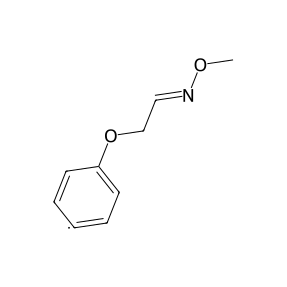 CO/N=C/COc1cc[c]cc1